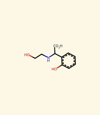 O=C(O)C(NCCO)c1ccccc1O